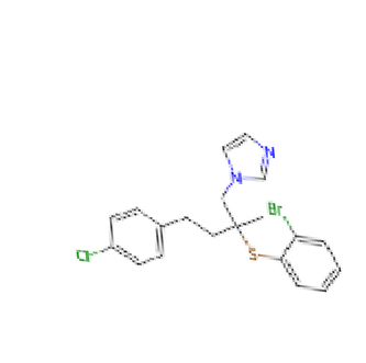 CC(CCc1ccc(Cl)cc1)(Cn1ccnc1)Sc1ccccc1Br